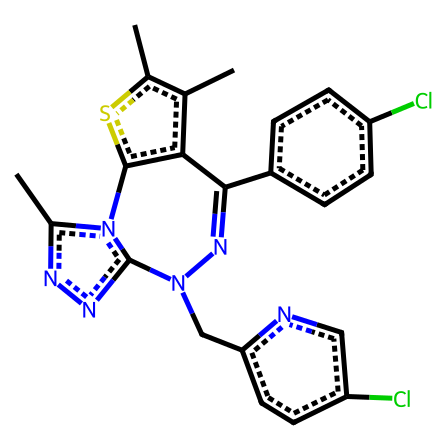 Cc1sc2c(c1C)C(c1ccc(Cl)cc1)=NN(Cc1ccc(Cl)cn1)c1nnc(C)n1-2